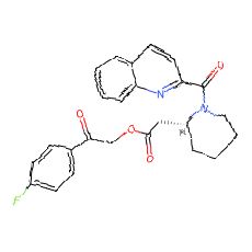 O=C(C[C@H]1CCCCN1C(=O)c1ccc2ccccc2n1)OCC(=O)c1ccc(F)cc1